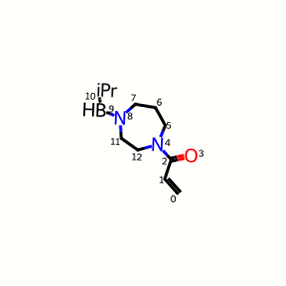 C=CC(=O)N1CCCN(BC(C)C)CC1